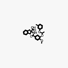 COc1ccc(C(=O)NC2(C(=O)O)Cc3ccccc3C2)cc1OC(C)Oc1cccc(C)c1